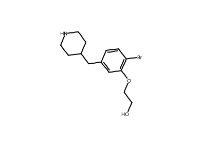 OCCOc1cc(CC2CCNCC2)ccc1Br